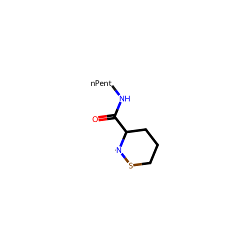 CCCCCNC(=O)C1CCCS[N]1